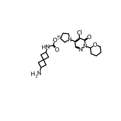 NC1CC2(C1)CC(NC(=O)O[C@@H]1CCN(c3cnn(C4CCCCO4)c(=O)c3Cl)C1)C2